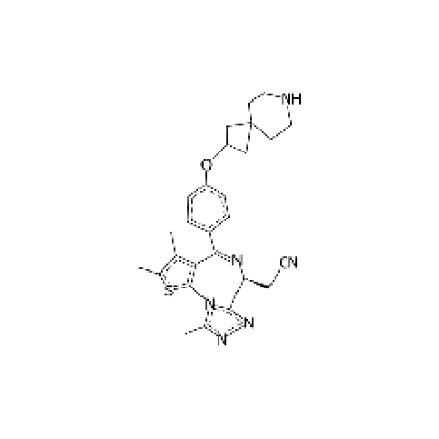 Cc1sc2c(c1C)C(c1ccc(OC3CC4(CCNCC4)C3)cc1)=N[C@@H](CC#N)c1nnc(C)n1-2